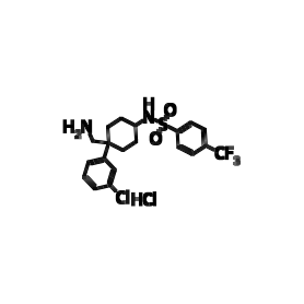 Cl.NCC1(c2cccc(Cl)c2)CCC(NS(=O)(=O)c2ccc(C(F)(F)F)cc2)CC1